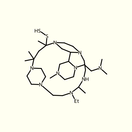 CCN1CCN2CCN(CC2)C(C)(C)CC(C)(SS)N2CCN(CCNC1C)C(C1CN(C)CCN1CCN(C)C)C2